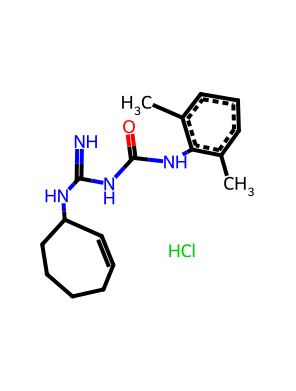 Cc1cccc(C)c1NC(=O)NC(=N)NC1C=CCCCC1.Cl